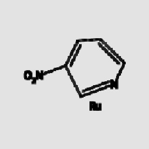 O=[N+]([O-])c1cccnc1.[Ru]